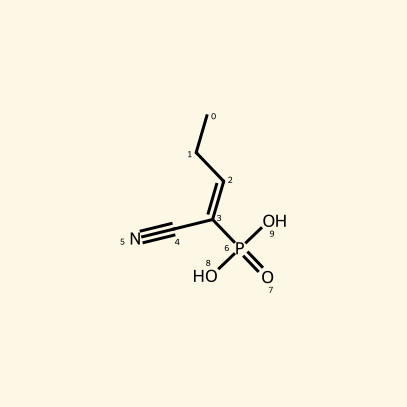 CC/C=C(\C#N)P(=O)(O)O